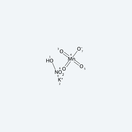 O=[N+]([O-])O.[K+].[O]=[Mn](=[O])(=[O])[O-]